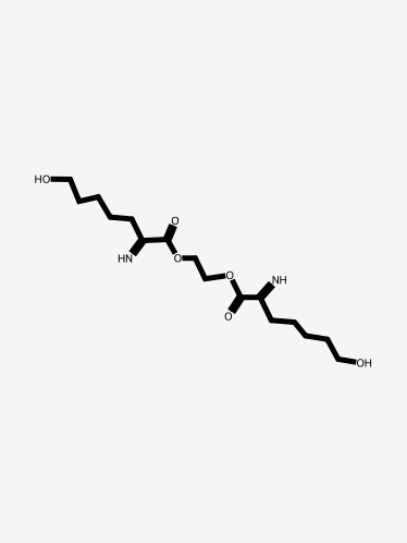 N=C(CCCCCO)C(=O)OCCOC(=O)C(=N)CCCCCO